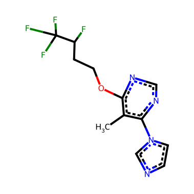 Cc1c(OCCC(F)C(F)(F)F)ncnc1-n1ccnc1